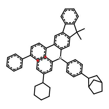 CC1(C)c2ccccc2-c2cc(-c3ccc(-c4ccccc4)cc3)c(N(c3ccc(C4CC5CCC4C5)cc3)c3cccc(C4CCCCC4)c3)cc21